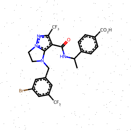 CC(NC(=O)c1c(C(F)(F)F)nn2c1N(Cc1cc(Br)cc(C(F)(F)F)c1)CC2)c1ccc(C(=O)O)cc1